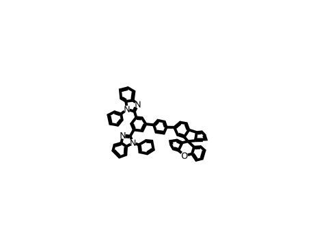 c1ccc(-n2c(-c3cc(-c4ccc(-c5ccc6c(c5)C5(c7ccccc7Oc7ccccc75)c5ccccc5-6)cc4)cc(-c4nc5ccccc5n4-c4ccccc4)c3)nc3ccccc32)cc1